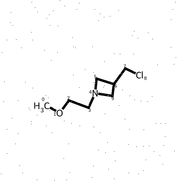 COCCN1CC(CCl)C1